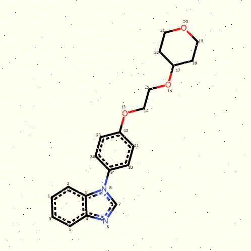 c1ccc2c(c1)ncn2-c1ccc(OCCOC2CCOCC2)cc1